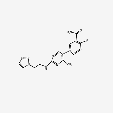 Cc1nc(NCCn2ccnn2)ncc1-c1ccc(F)c(C(N)=O)c1